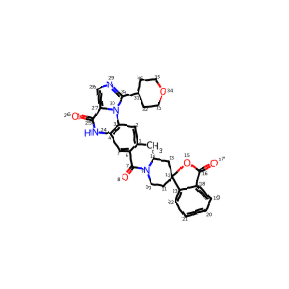 Cc1cc2c(cc1C(=O)N1CCC3(CC1)OC(=O)c1ccccc13)[nH]c(=O)c1cnc(C3CCOCC3)n12